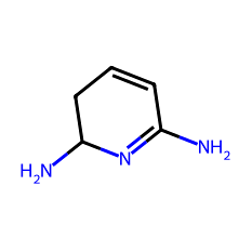 NC1=NC(N)CC=C1